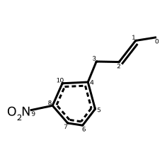 CC=CCc1cccc([N+](=O)[O-])c1